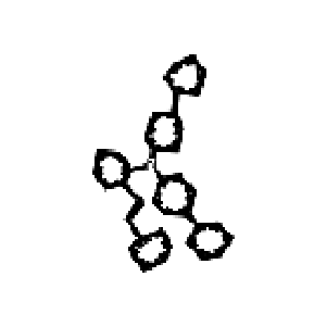 C(=C\c1ccccc1N(c1ccc(-c2ccccc2)cc1)c1ccc(-c2ccccc2)cc1)/c1ccccc1